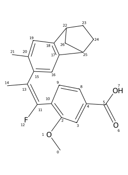 COc1cc(C(=O)O)ccc1/C(F)=C(/C)c1cc2c(cc1C)C1CCC2C1